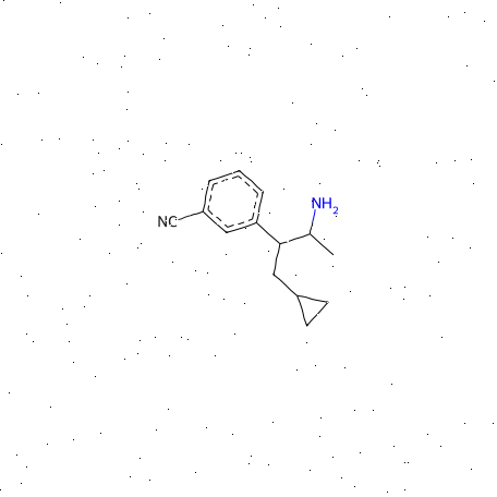 CC(N)C(CC1CC1)c1cccc(C#N)c1